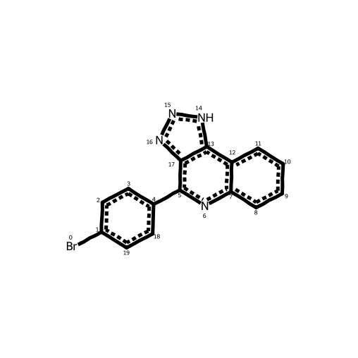 Brc1ccc(-c2nc3ccccc3c3[nH]nnc23)cc1